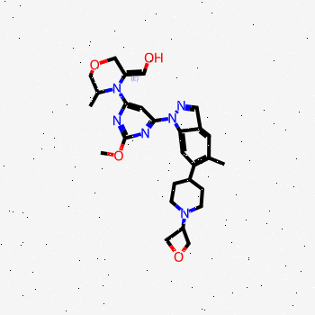 COc1nc(N2/C(=C/O)COCC2C)cc(-n2ncc3cc(C)c(C4CCN(C5COC5)CC4)cc32)n1